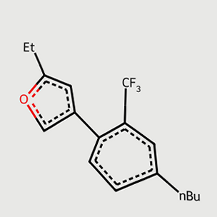 CCCCc1ccc(-c2coc(CC)c2)c(C(F)(F)F)c1